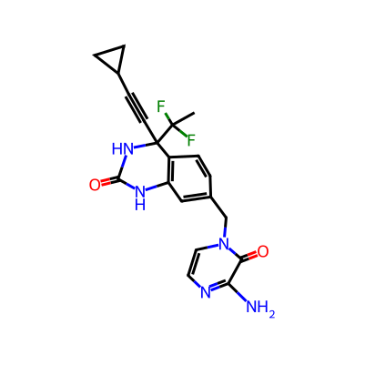 CC(F)(F)C1(C#CC2CC2)NC(=O)Nc2cc(Cn3ccnc(N)c3=O)ccc21